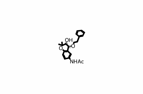 CC(=O)Nc1ccc2c(c1)[C@H](OCCc1ccccc1)[C@@H](O)C(C)(C)O2